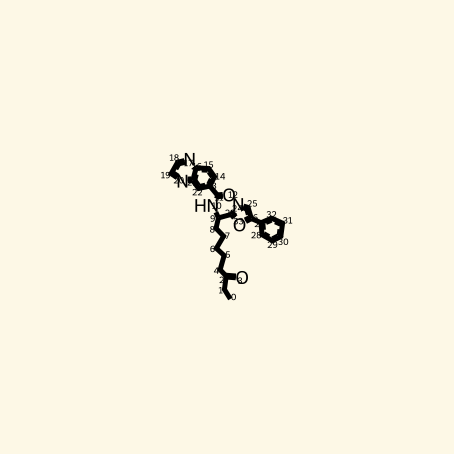 CCC(=O)CCCCCC(NC(=O)c1ccc2nccnc2c1)c1ncc(-c2ccccc2)o1